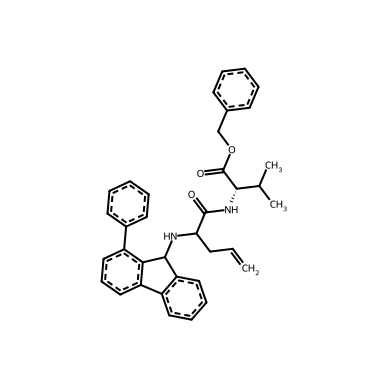 C=CCC(NC1c2ccccc2-c2cccc(-c3ccccc3)c21)C(=O)N[C@H](C(=O)OCc1ccccc1)C(C)C